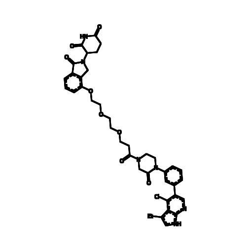 CCc1c[nH]c2ncc(-c3cccc(N4CCN(C(=O)CCOCCOCCOc5cccc6c5CN(C5CCC(=O)NC5=O)C6=O)CC4=O)c3)c(Cl)c12